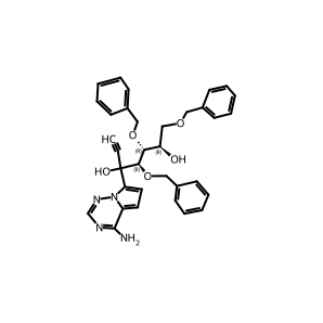 C#CC(O)(c1ccc2c(N)ncnn12)[C@H](OCc1ccccc1)[C@H](OCc1ccccc1)[C@H](O)COCc1ccccc1